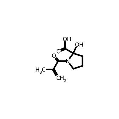 C=C(C)C(=O)N1CCCC1(O)C(=O)O